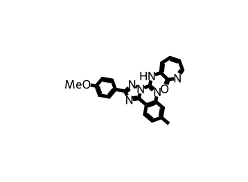 COc1ccc(-c2nc3c4ccc(C)cc4nc(Nc4ccccnc4=O)n3n2)cc1